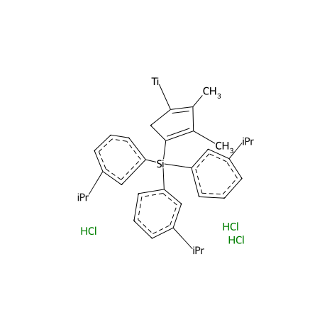 CC1=[C]([Ti])CC([Si](c2cccc(C(C)C)c2)(c2cccc(C(C)C)c2)c2cccc(C(C)C)c2)=C1C.Cl.Cl.Cl